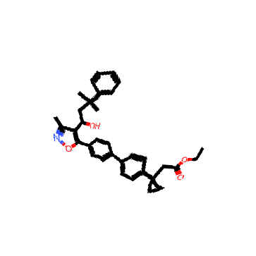 CCOC(=O)CC1(c2ccc(-c3ccc(-c4onc(C)c4C(O)CC(C)(C)c4ccccc4)cc3)cc2)CC1